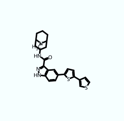 CN1C2CCCC1CC(NC(=O)c1n[nH]c3ccc(-c4ccc(-c5ccsc5)s4)cc13)C2